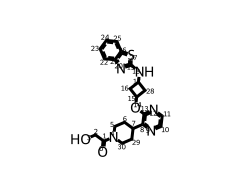 O=C(CO)N1CCC(c2nccnc2OC2CC(Nc3nc4ccccc4s3)C2)CC1